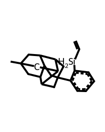 C=C[SiH2]c1ccccc1C12CC3C4CC5(C)CC3C(C1)C(C5)C4C2